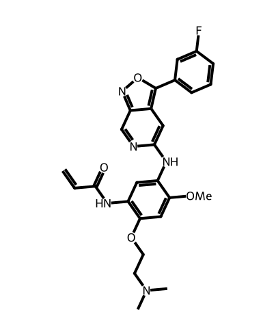 C=CC(=O)Nc1cc(Nc2cc3c(-c4cccc(F)c4)onc3cn2)c(OC)cc1OCCN(C)C